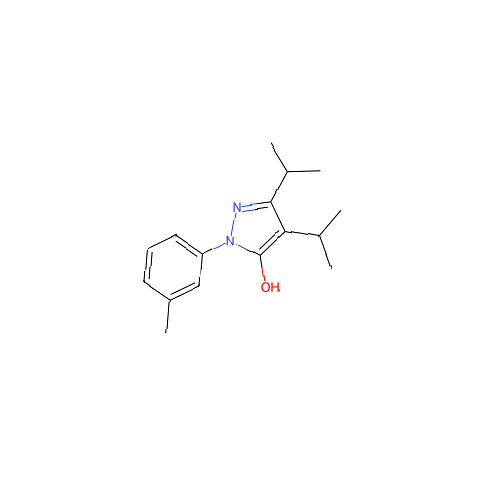 Cc1cccc(-n2nc(C(C)C)c(C(C)C)c2O)c1